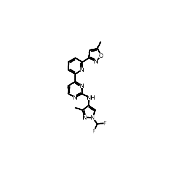 Cc1cc(-c2cccc(-c3ccnc(Nc4cn(C(F)F)nc4C)n3)n2)no1